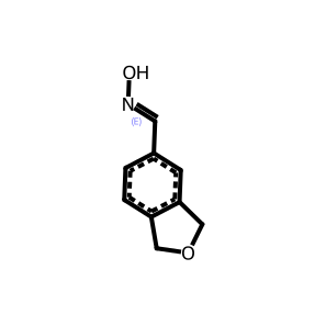 O/N=C/c1ccc2c(c1)COC2